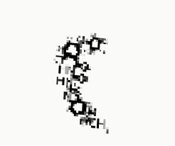 CS(=O)(=O)c1ccc2nc(NC(=O)NC(=O)c3cc(OC4CCCC4)ccc3Cl)sc2c1